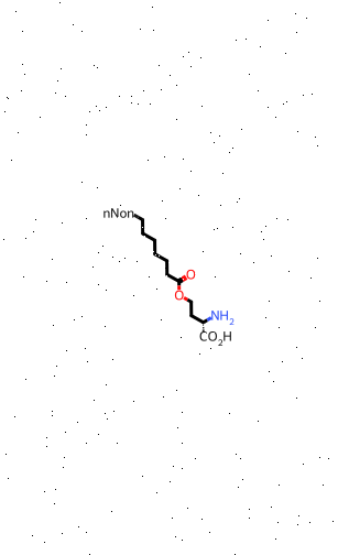 CCCCCCCCCCCCCCCC(=O)OCC[C@H](N)C(=O)O